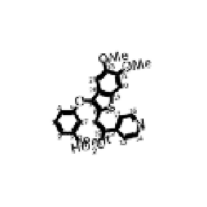 CCCCCc1cccc(Oc2c(C=C(C(=O)O)c3ccncc3)sc3cc(OC)c(OC)cc23)c1